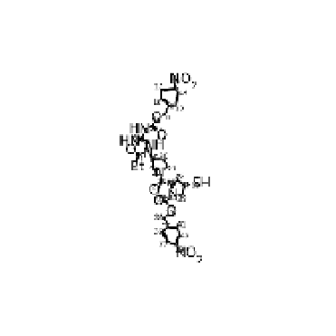 CCC(=O)N(NC(=N)NC(=O)OCc1ccc([N+](=O)[O-])cc1)[C@H]1CCN(C(=O)[C@@H]2C[C@H](S)CN2C(=O)OCc2ccc([N+](=O)[O-])cc2)C1